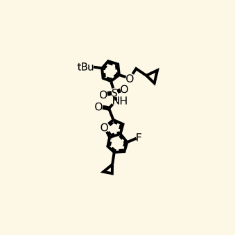 CC(C)(C)c1ccc(OCC2CC2)c(S(=O)(=O)NC(=O)c2cc3c(F)cc(C4CC4)cc3o2)c1